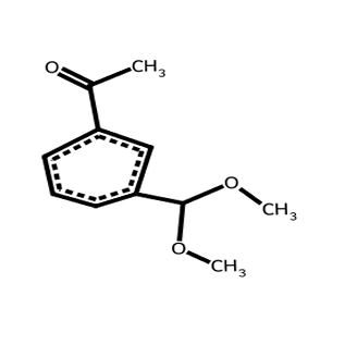 COC(OC)c1cccc(C(C)=O)c1